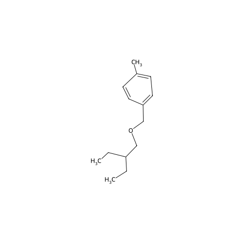 CCC(CC)COCc1ccc(C)cc1